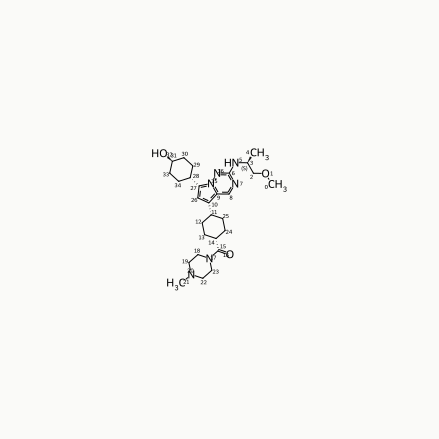 COC[C@H](C)Nc1ncc2c([C@H]3CC[C@@H](C(=O)N4CCN(C)CC4)CC3)cc([C@H]3CC[C@H](O)CC3)n2n1